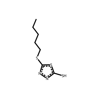 CCCCCSc1nnc(S)s1